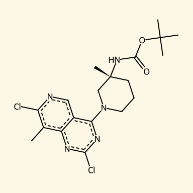 Cc1c(Cl)ncc2c(N3CCC[C@@](C)(NC(=O)OC(C)(C)C)C3)nc(Cl)nc12